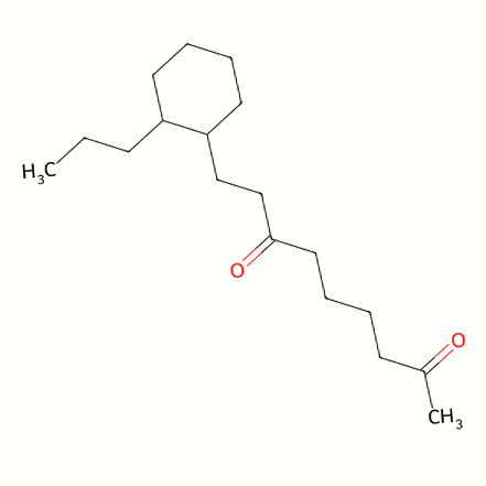 CCCC1CCCCC1CCC(=O)CCCCC(C)=O